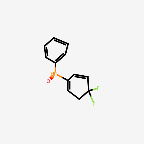 O=[PH](C1=CCC(F)(F)C=C1)c1ccccc1